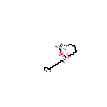 CCCCC/C=C\C/C=C\C/C=C\CCCCC(=O)O[C@H](COC(=O)CCCCCCCCC/C=C\C/C=C\CCCCC)COP(=O)([O-])OCC[N+](C)(C)C